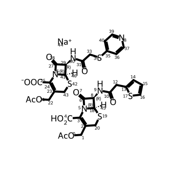 CC(=O)OCC1=C(C(=O)O)N2C(=O)[C@@H](NC(=O)Cc3cccs3)[C@H]2SC1.CC(=O)OCC1=C(C(=O)[O-])N2C(=O)[C@@H](NC(=O)CSc3ccncc3)[C@H]2SC1.[Na+]